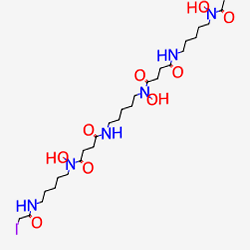 CC(=O)N(O)CCCCCNC(=O)CCC(=O)N(O)CCCCCNC(=O)CCC(=O)N(O)CCCCCNC(=O)CI